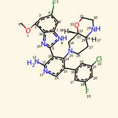 COc1cc(F)cc2[nH]c(-c3c(N)ncc(-c4cc(F)cc(Cl)c4)c3N3CC[C@@H]4NCCO[C@H]4C3)nc12